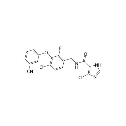 N#Cc1cccc(Oc2c(Cl)ccc(CNC(=O)c3[nH]cnc3Cl)c2F)c1